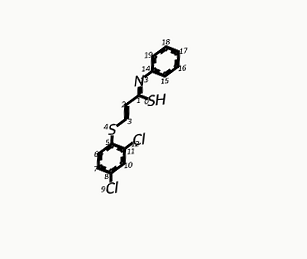 SC(C=CSc1ccc(Cl)cc1Cl)=Nc1ccccc1